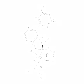 Cc1cc(F)cc(-c2cccc(C[C@@H]3NC4CC(C4)[C@@H]3NS(C)(=O)=O)c2F)c1